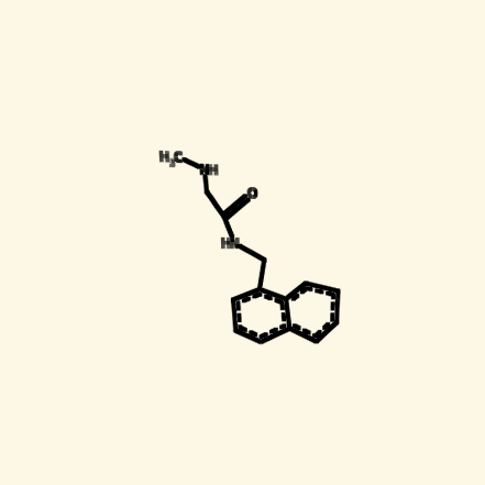 CNCC(=O)NCc1cccc2ccccc12